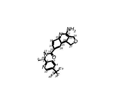 C[C@H](c1ccc(C(F)(F)F)cn1)N(C)C(=O)c1ccc2nc(N)c3c(c2c1)COC3